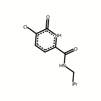 CC(C)CNC(=O)c1ccc(Cl)c(=O)[nH]1